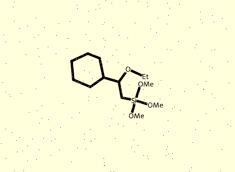 CCOC(C[Si](OC)(OC)OC)C1CCCCC1